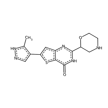 Cc1[nH]ncc1-c1cc2nc(C3CNCCO3)[nH]c(=O)c2s1